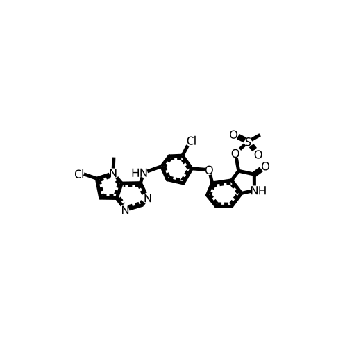 Cn1c(Cl)cc2ncnc(Nc3ccc(Oc4cccc5c4C(OS(C)(=O)=O)C(=O)N5)c(Cl)c3)c21